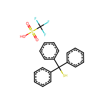 O=S(=O)(O)C(F)(F)F.SC(c1ccccc1)(c1ccccc1)c1ccccc1